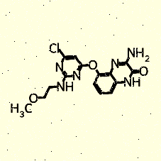 COCCNc1nc(Cl)cc(Oc2cccc3[nH]c(=O)c(N)nc23)n1